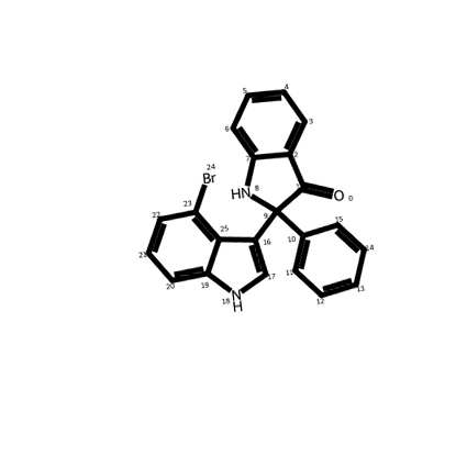 O=C1c2ccccc2NC1(c1ccccc1)c1c[nH]c2cccc(Br)c12